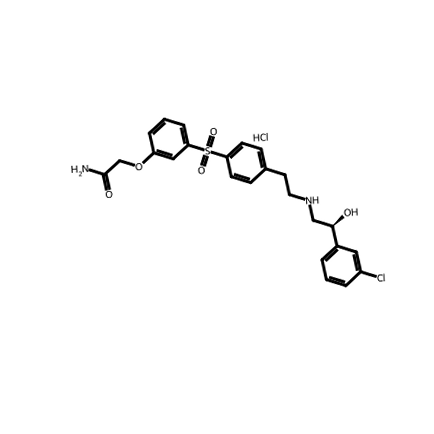 Cl.NC(=O)COc1cccc(S(=O)(=O)c2ccc(CCNC[C@@H](O)c3cccc(Cl)c3)cc2)c1